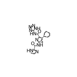 O=C(Nc1nc(C(=O)Nc2nnn[nH]2)c(-c2ccccc2)s1)c1ncc[nH]1